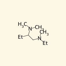 CCC(CN(C)CC)N(C)C